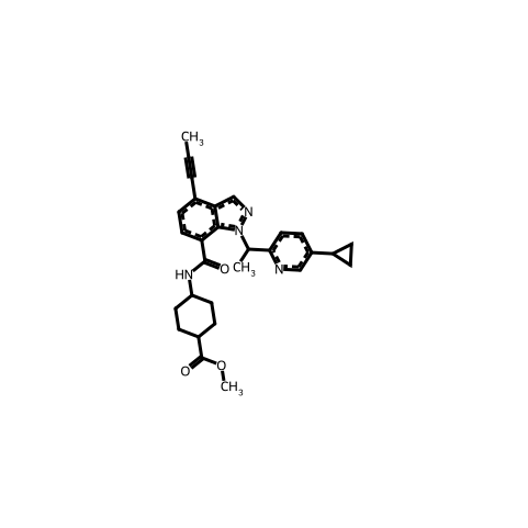 CC#Cc1ccc(C(=O)NC2CCC(C(=O)OC)CC2)c2c1cnn2C(C)c1ccc(C2CC2)cn1